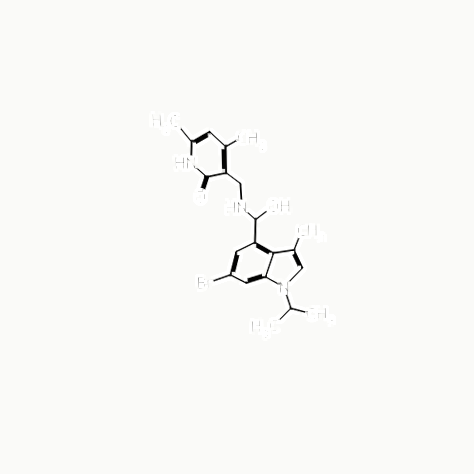 Cc1cc(C)c(CNC(O)c2cc(Br)cc3c2c(C)cn3C(C)C)c(=O)[nH]1